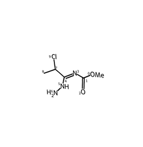 COC(=O)N=C(NN)C(C)Cl